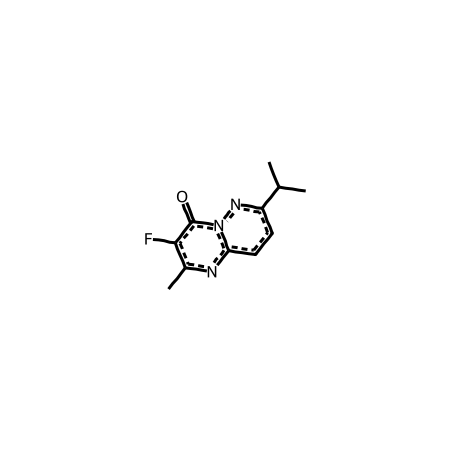 Cc1nc2ccc(C(C)C)nn2c(=O)c1F